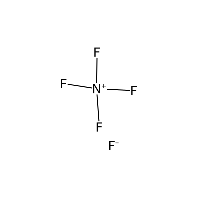 F[N+](F)(F)F.[F-]